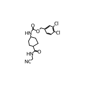 N#CCNC(=O)C1CCC(NC(=O)OCc2ccc(Cl)c(Cl)c2)CC1